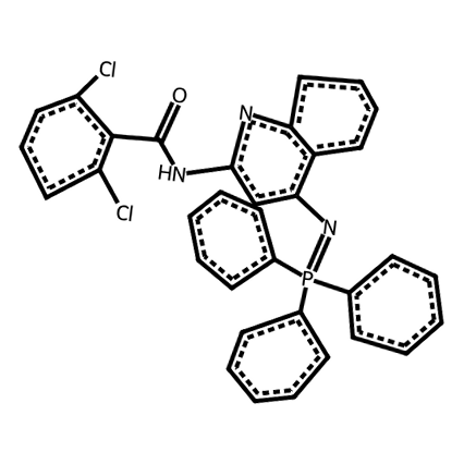 O=C(Nc1cc(N=P(c2ccccc2)(c2ccccc2)c2ccccc2)c2ccccc2n1)c1c(Cl)cccc1Cl